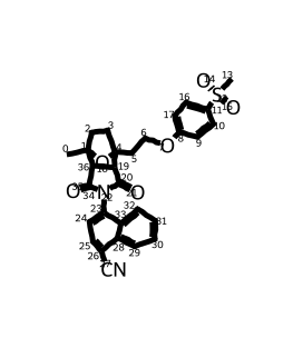 CC12CCC(CCOc3ccc(S(C)(=O)=O)cc3)(O1)C1C(=O)N(c3ccc(C#N)c4ccccc34)C(=O)C12